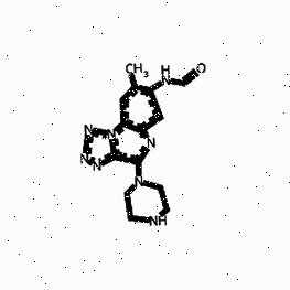 Cc1cc2c(cc1NC=O)nc(N1CCNCC1)c1nnnn12